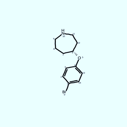 Brc1ccc(O[C@@H]2CCCNCC2)cc1